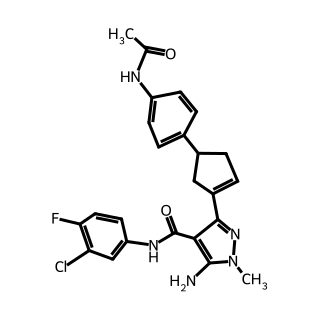 CC(=O)Nc1ccc(C2CC=C(c3nn(C)c(N)c3C(=O)Nc3ccc(F)c(Cl)c3)C2)cc1